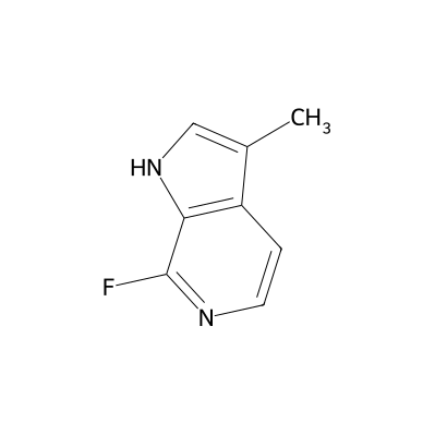 Cc1c[nH]c2c(F)nccc12